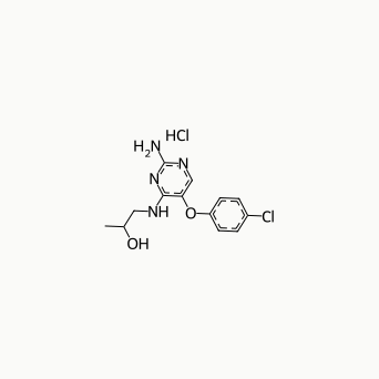 CC(O)CNc1nc(N)ncc1Oc1ccc(Cl)cc1.Cl